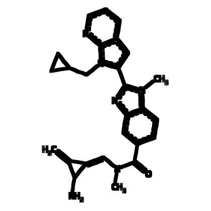 C=C1/C(=C/N(C)C(=O)c2ccc3c(c2)nc(-c2cc4cccnc4n2CC2CC2)n3C)C1N